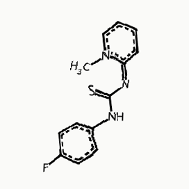 Cn1ccccc1=NC(=S)Nc1ccc(F)cc1